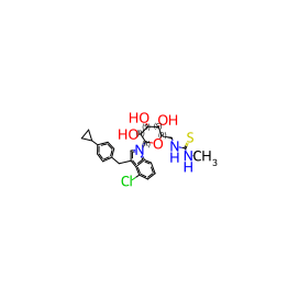 CNC(=S)NC[C@H]1O[C@@H](n2cc(Cc3ccc(C4CC4)cc3)c3c(Cl)cccc32)[C@H](O)[C@@H](O)[C@@H]1O